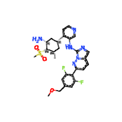 COCc1cc(F)c(-c2ccc3cnc(Nc4cnccc4[C@H]4C[C@@H](N)[C@@H](S(C)(=O)=O)[C@@H](C)C4)n3n2)c(F)c1